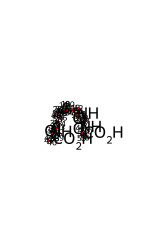 O=C(O)C1=C(C(=O)Nc2ccc(Nc3ccc(C45CC6CC(C4)C(C4C7CC8CC4CC(c4ccc(NC(=O)C9=C(C(=O)O)CCC9)cc4)(C8)C7)C5C6)cc3Cl)cc2)CCC1